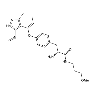 C=Nc1[nH]cc(C)c1/C(=C\C)Oc1ccc(C[C@H](N)C(=O)NCCCOC)cc1